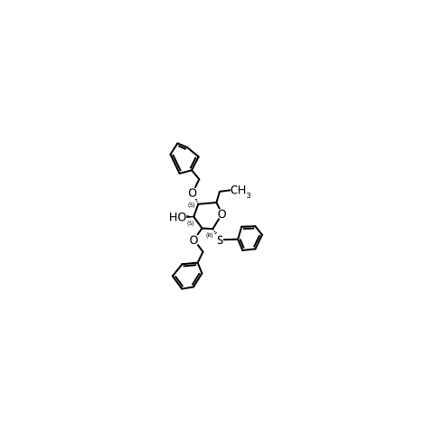 CCC1O[C@H](Sc2ccccc2)C(OCc2ccccc2)[C@@H](O)[C@@H]1OCc1ccccc1